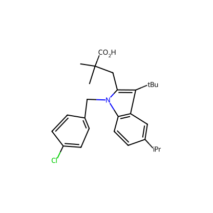 CC(C)c1ccc2c(c1)c(C(C)(C)C)c(CC(C)(C)C(=O)O)n2Cc1ccc(Cl)cc1